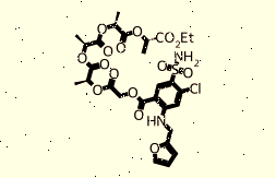 CCOC(=O)[C@H](C)OC(=O)[C@H](C)OC(=O)[C@H](C)OC(=O)[C@H](C)OC(=O)COC(=O)c1cc(S(N)(=O)=O)c(Cl)cc1NCc1ccco1